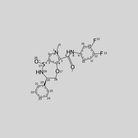 Cn1cc2c(c1C(=O)Nc1ccc(F)c(F)c1)OC[C@@H](c1ccccc1)N[S+]2[O-]